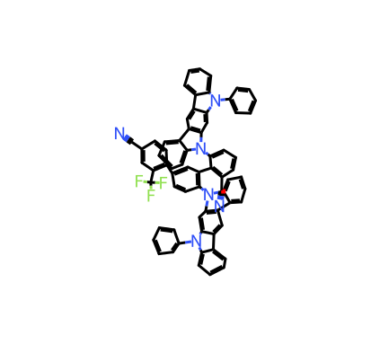 N#Cc1ccc(-c2ccc(-n3c4ccccc4c4cc5c6ccccc6n(-c6ccccc6)c5cc43)c(-c3c(C#N)cccc3-n3c4ccccc4c4cc5c6ccccc6n(-c6ccccc6)c5cc43)c2)c(C(F)(F)F)c1